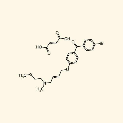 CSCCN(C)C/C=C/COc1ccc(C(=O)c2ccc(Br)cc2)cc1.O=C(O)/C=C/C(=O)O